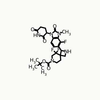 Cn1c(=O)n(C2CCC(=O)NC2=O)c2ccc(C3NCC34CCN(C(=O)OC(C)(C)C)CC4(F)F)c(F)c21